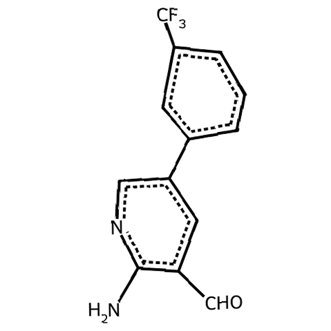 Nc1ncc(-c2cccc(C(F)(F)F)c2)cc1C=O